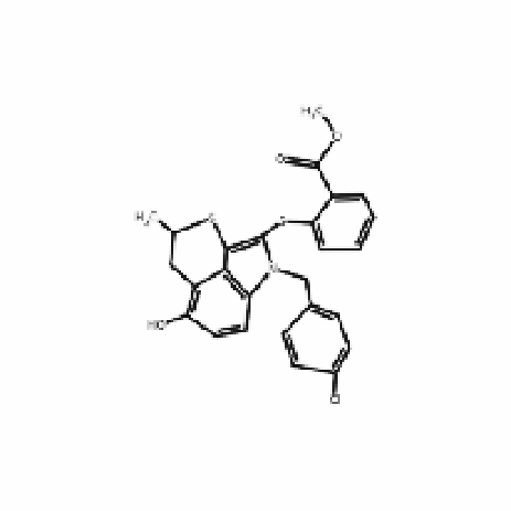 COC(=O)c1ccccc1Sc1c2c3c(c(O)ccc3n1Cc1ccc(Cl)cc1)CC(C)S2